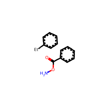 CCc1ccccc1.NOC(=O)c1ccccc1